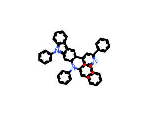 c1ccc(-c2cc(-c3cc4c5ccccc5n(-c5ccccc5)c4cc3N(c3ccccc3)c3ccccc3)cc(-c3ccccc3)n2)cc1